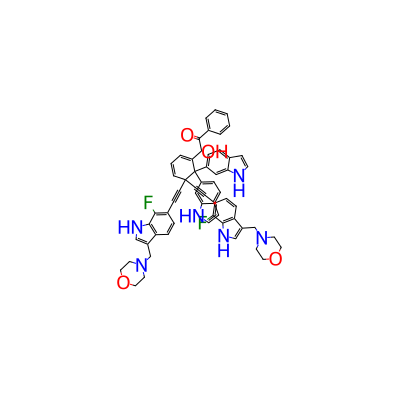 O=C(c1ccccc1)C(O)C1=CC=CC(C#Cc2ccc3c(CN4CCOCC4)c[nH]c3c2F)(C#Cc2ccc3c(CN4CCOCC4)c[nH]c3c2F)C1(c1ccc2cc[nH]c2c1)c1ccc2cc[nH]c2c1